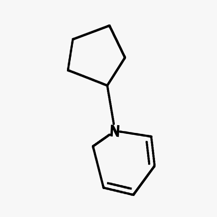 C1=CCN(C2CCCC2)C=C1